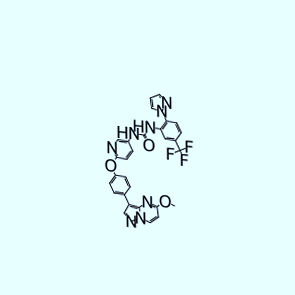 COc1ccn2ncc(-c3ccc(Oc4ccc(NC(=O)Nc5cc(C(F)(F)F)ccc5-n5cccn5)cn4)cc3)c2n1